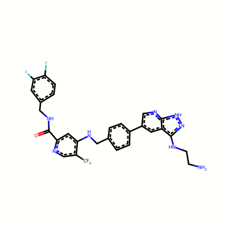 NCCNc1n[nH]c2ncc(-c3ccc(CNc4cc(C(=O)NCc5ccc(F)c(F)c5)ncc4C(F)(F)F)cc3)cc12